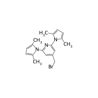 Cc1ccc(C)n1-c1cc(CBr)cc(-n2c(C)ccc2C)n1